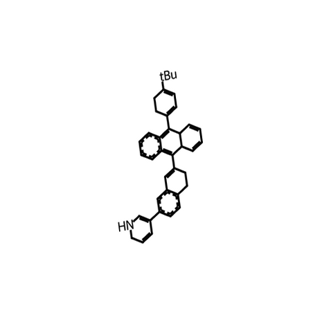 CC(C)(C)C1=CC=C(C2=c3ccccc3=C(C3=Cc4cc(C5=CNCC=C5)ccc4CC3)C3C=CC=CC23)CC1